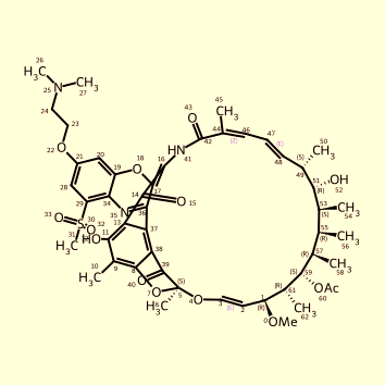 CO[C@H]1/C=C/O[C@@]2(C)Oc3c(C)c(O)c4c(=O)c(c5oc6cc(OCCN(C)C)cc(S(C)(=O)=O)c6nc-5c4c3C2=O)NC(=O)/C(C)=C\C=C\[C@H](C)[C@H](O)[C@@H](C)[C@@H](C)[C@@H](C)[C@H](OC(C)=O)[C@@H]1C